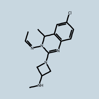 C/C=N\N1C(N2CC(NC)C2)=Nc2ccc(Cl)cc2C1C